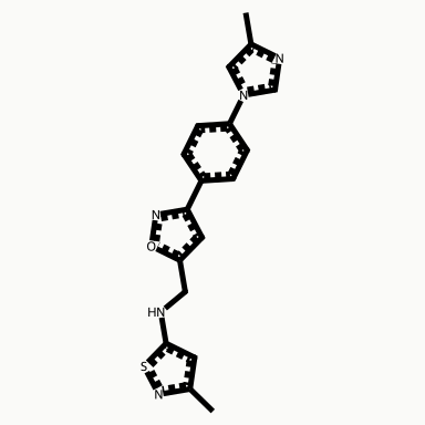 Cc1cn(-c2ccc(-c3cc(CNc4cc(C)ns4)on3)cc2)cn1